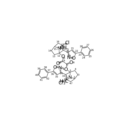 CN1C2CCC1(OC(=O)C(=O)OC13CCC(CC(Cl)=C1c1cc(-c4ccccc4)on1)N3C)C(c1cc(-c3ccccc3)on1)=C(Cl)C2